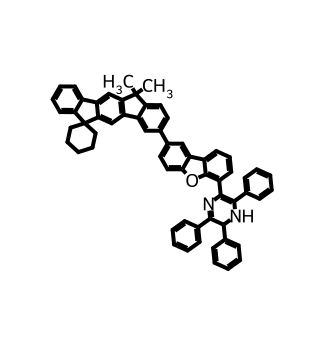 CC1(C)c2ccc(-c3ccc4oc5c(C6=C(c7ccccc7)NC(c7ccccc7)C(c7ccccc7)=N6)cccc5c4c3)cc2-c2cc3c(cc21)-c1ccccc1C31CCCCC1